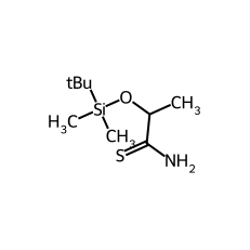 CC(O[Si](C)(C)C(C)(C)C)C(N)=S